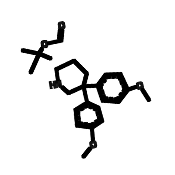 CC(C)(C)OC=O.COc1ccc(C2(c3ccc(OC)cc3)CCCNC2)cc1